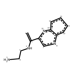 C=C(NCCN)c1cnc2ccccc2n1